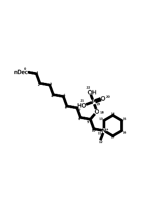 CCCCCCCCCCCCCCCCCCC(C[N+]1(C)CCCCC1)OP(=O)(O)O